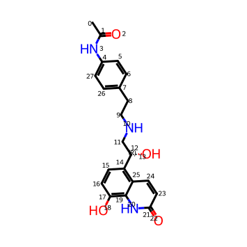 CC(=O)Nc1ccc(CCNC[C@H](O)c2ccc(O)c3[nH]c(=O)ccc23)cc1